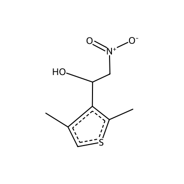 Cc1csc(C)c1C(O)C[N+](=O)[O-]